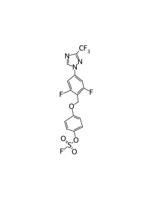 O=S(=O)(F)Oc1ccc(OCc2c(F)cc(-n3cnc(C(F)(F)F)n3)cc2F)cc1